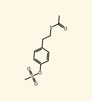 CC(=O)SCCc1ccc(OS(C)(=O)=O)cc1